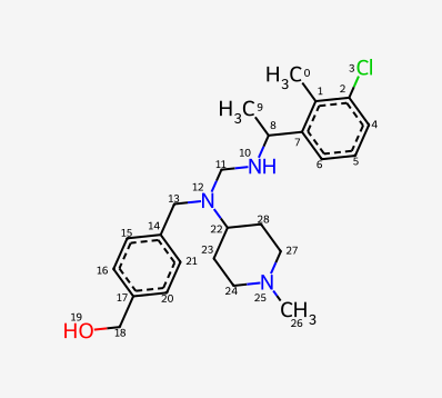 Cc1c(Cl)cccc1C(C)NCN(Cc1ccc(CO)cc1)C1CCN(C)CC1